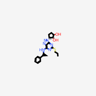 CCCSc1nc(NC2CC2c2ccccc2)c2nnn([C@@H]3CC[C@@H](O)[C@H]3O)c2n1